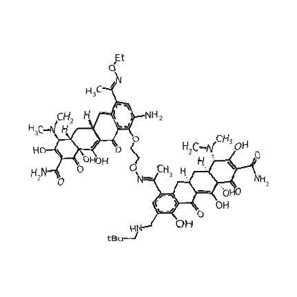 CCO/N=C(\C)c1cc(N)c(OCCO/N=C(\C)c2cc(CNCC(C)(C)C)c(O)c3c2C[C@H]2C[C@H]4[C@H](N(C)C)C(O)=C(C(N)=O)C(=O)[C@@]4(O)C(O)=C2C3=O)c2c1C[C@H]1C[C@H]3[C@H](N(C)C)C(O)=C(C(N)=O)C(=O)[C@@]3(O)C(O)=C1C2=O